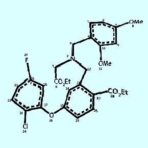 CCOC(=O)CN(Cc1ccc(OC)cc1OC)Cc1cc(Oc2cc(F)ccc2Cl)ccc1C(=O)OCC